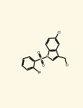 O=S(=O)(c1ccccc1Br)n1cc(CCl)c2cc(Cl)ccc21